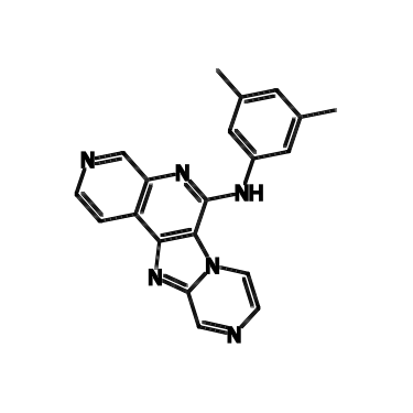 Cc1cc(C)cc(Nc2nc3cnccc3c3nc4cnccn4c23)c1